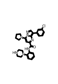 O=C(Nc1ccccc1N1CCNCC1)c1cc(N2CCCC2)n2ncc(-c3cccc(Cl)c3)c2n1